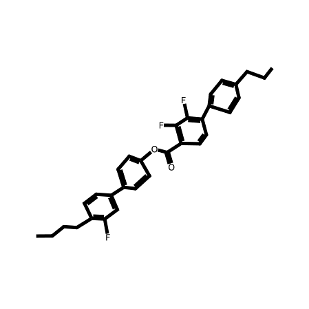 CCCCc1ccc(-c2ccc(OC(=O)c3ccc(-c4ccc(CCC)cc4)c(F)c3F)cc2)cc1F